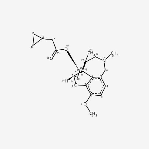 COc1ccc2c3c1O[C@H]1C[C@@H](OC(=O)CC4CC4)C(C)[C@@]31CCN(C)C2